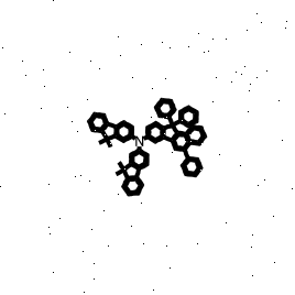 CC1(C)c2ccccc2-c2ccc(N(c3ccc4c(c3)-c3cc(-c5ccccc5)c5ccccc5c3C4(c3ccccc3)c3ccccc3)c3ccc4c(c3)C(C)(C)c3ccccc3-4)cc21